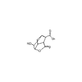 O=C(O)C1C2CC3C(OC(=O)C31)C2O